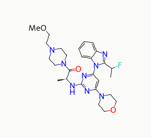 COCCN1CCN(C(=O)[C@H](C)Nc2nc(N3CCOCC3)cc(-n3c(C(C)F)nc4ccccc43)n2)CC1